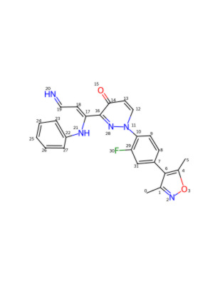 Cc1noc(C)c1-c1ccc(-n2ccc(=O)c(/C(=C/C=N)Nc3ccccc3)n2)c(F)c1